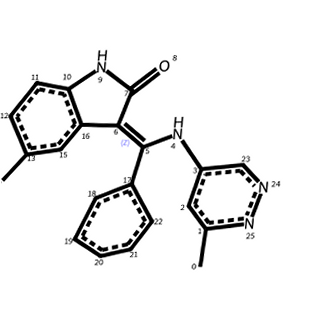 Cc1cc(N/C(=C2\C(=O)Nc3ccc(Br)cc32)c2ccccc2)cnn1